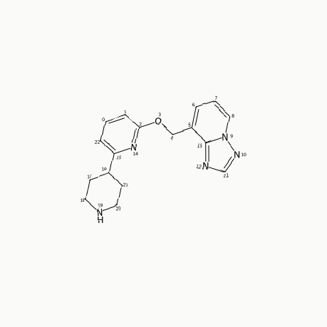 c1cc(OCc2cccn3ncnc23)nc(C2CCNCC2)c1